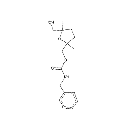 CC1(CO)CCC(C)(COC(=O)NCc2ccccc2)O1